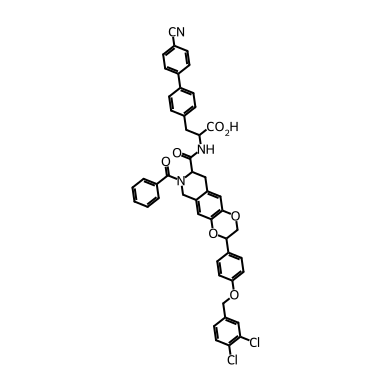 N#Cc1ccc(-c2ccc(CC(NC(=O)C3Cc4cc5c(cc4CN3C(=O)c3ccccc3)OC(c3ccc(OCc4ccc(Cl)c(Cl)c4)cc3)CO5)C(=O)O)cc2)cc1